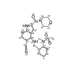 CN(c1ncccc1CNc1c(C#N)cnc2[nH]c(C(=O)N3CCOCC3)cc12)S(C)(=O)=O